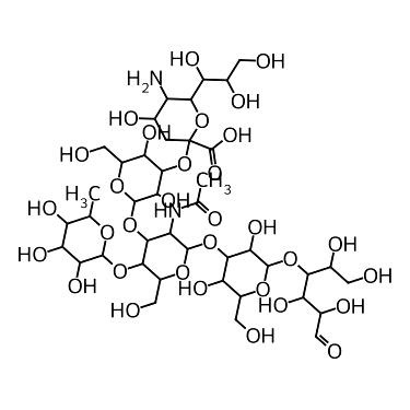 CC(=O)NC1C(OC2C(O)C(CO)OC(OC(C(O)CO)C(O)C(O)C=O)C2O)OC(CO)C(OC2OC(C)C(O)C(O)C2O)C1OC1OC(CO)C(O)C(OC2(C(=O)O)CC(O)C(N)C(C(O)C(O)CO)O2)C1O